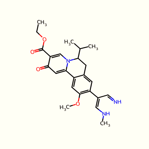 CCOC(=O)c1cn2c(cc1=O)-c1cc(OC)c(/C(C=N)=C/NC)cc1CC2C(C)C